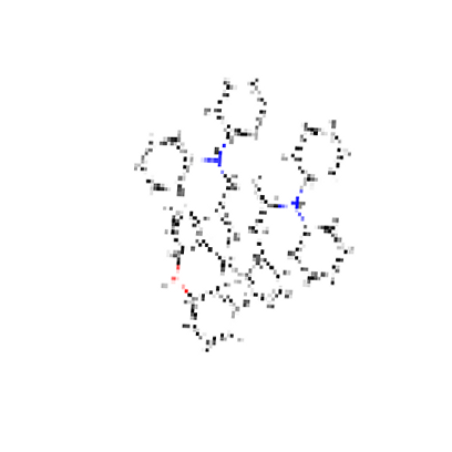 c1ccc(N(c2ccccc2)c2cc(N(c3ccccc3)c3ccccc3)c3c(c2)C2(c4ccccc4Oc4ccccc42)c2ccccc2-3)cc1